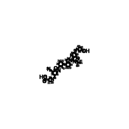 Cc1c(-c2nc3cc(CN4CC[C@H](C(=O)O)C4)cc(C#N)c3o2)cccc1-c1cccc2c1CCN2c1nc(C(F)F)nc2cc(CN3CC[C@H](O)C3)cnc12